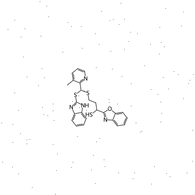 Cc1cccnc1C(SCCC(S)c1nc2ccccc2o1)Sc1nc2ccccc2[nH]1